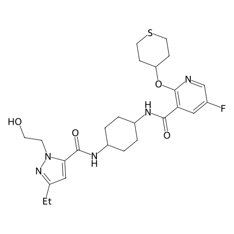 CCc1cc(C(=O)NC2CCC(NC(=O)c3cc(F)cnc3OC3CCSCC3)CC2)n(CCO)n1